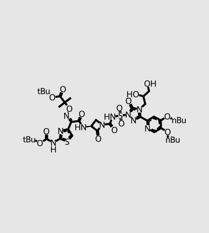 CCCCOc1cnc(-c2nn(S(=O)(=O)NC(=O)N3C[C@H](NC(=O)/C(=N\OC(C)(C)C(=O)OC(C)(C)C)c4csc(NC(=O)OC(C)(C)C)n4)C3=O)c(=O)n2CC(O)CO)cc1OCCCC